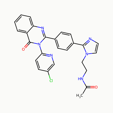 CC(=O)NCCn1ccnc1-c1ccc(-c2nc3ccccc3c(=O)n2-c2ccc(Cl)cn2)cc1